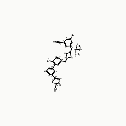 CC(C)(F)[C@H](c1cc(F)cc(C#N)c1)C1CN(Cc2ccc(Cl)c(-c3cccc(-c4nnc(N)o4)c3)c2)C1